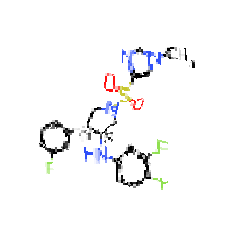 Cn1cnc(S(=O)(=O)N2C[C@@H](Nc3ccc(F)c(F)c3)[C@H](c3cccc(F)c3)C2)c1